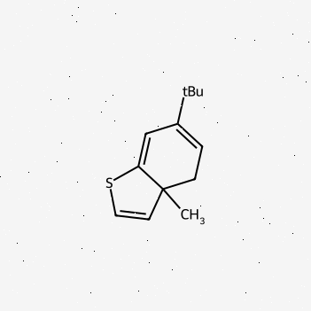 CC(C)(C)C1=CCC2(C)C=CSC2=C1